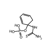 NC(=S)NC1(OP(=O)(O)O)C=CC=CC1